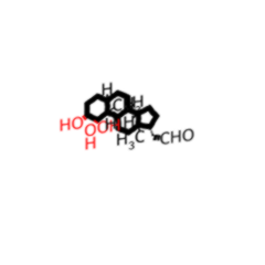 C[C@]12CC[C@H]3[C@@H](CC[C@@H]4CCC(O)C(O)(O)[C@@]43C)[C@H]1CC[C@@H]2CC=O